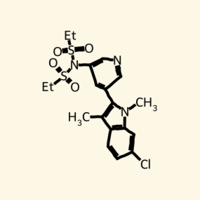 CCS(=O)(=O)N(c1cncc(-c2c(C)c3ccc(Cl)cc3n2C)c1)S(=O)(=O)CC